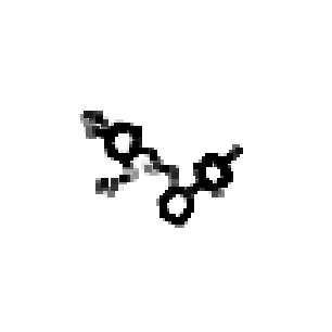 COc1ccc(CNSC2CCCCC2c2ncc(F)cn2)c(OC)c1